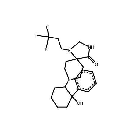 O=C1NCN(CCC(F)(F)F)C12CCN(C1CCCCC1(O)c1ccccc1)CC2